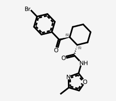 Cc1coc(NC(=O)[C@H]2CCCC[C@@H]2C(=O)c2ccc(Br)cc2)n1